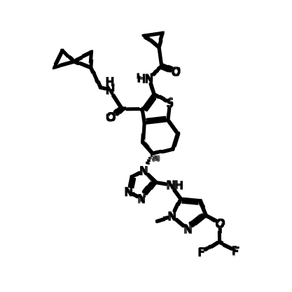 Cn1nc(OC(F)F)cc1Nc1nncn1[C@H]1CCc2sc(NC(=O)C3CC3)c(C(=O)NCC3CC34CC4)c2C1